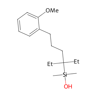 CCC(CC)(CCCc1ccccc1OC)[Si](C)(C)O